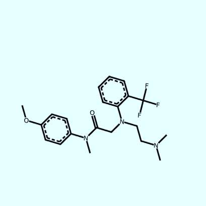 COc1ccc(N(C)C(=O)CN(CCN(C)C)c2ccccc2C(F)(F)F)cc1